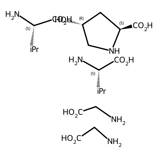 CC(C)[C@H](N)C(=O)O.CC(C)[C@H](N)C(=O)O.NCC(=O)O.NCC(=O)O.O=C(O)[C@@H]1C[C@@H](O)CN1